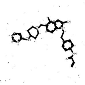 C=CC(=O)Nc1ccc(CCn2c(C#N)cc3c(C)c(CN4CCC(Nc5ccncn5)CC4)ccc32)cc1